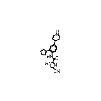 N#CC1CNC(C(=O)Nc2ccc(C3CCNCC3)cc2C2=CCCC2)=N1